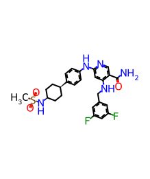 CS(=O)(=O)N[C@H]1CC[C@@H](c2ccc(Nc3cc(NCc4cc(F)cc(F)c4)c(C(N)=O)cn3)cc2)CC1